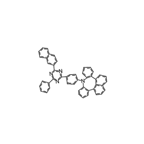 c1ccc(-c2nc(-c3ccc(N4c5ccccc5-c5cccc6cccc(c56)-c5ccccc54)cc3)nc(-c3ccc4ccccc4c3)n2)cc1